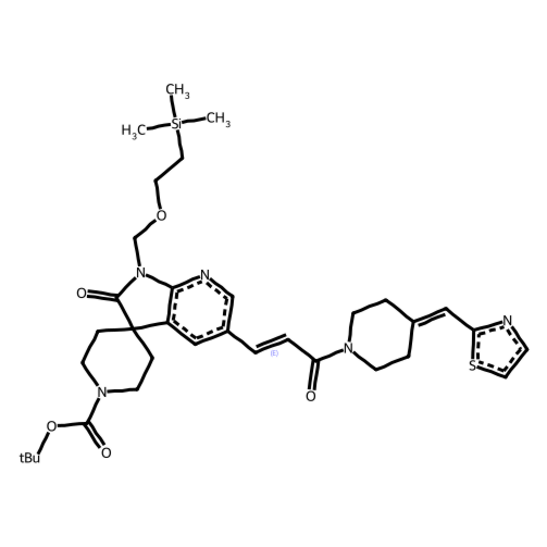 CC(C)(C)OC(=O)N1CCC2(CC1)C(=O)N(COCC[Si](C)(C)C)c1ncc(/C=C/C(=O)N3CCC(=Cc4nccs4)CC3)cc12